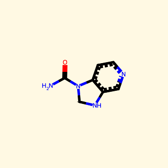 NC(=O)N1[CH]Nc2cnccc21